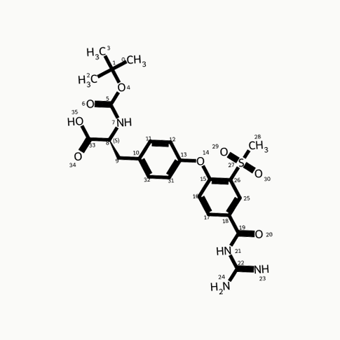 CC(C)(C)OC(=O)N[C@@H](Cc1ccc(Oc2ccc(C(=O)NC(=N)N)cc2S(C)(=O)=O)cc1)C(=O)O